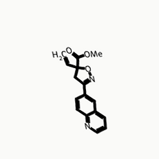 C=CC1(C(=O)OC)CC(c2ccc3ncccc3c2)=NO1